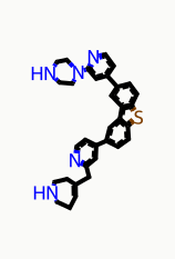 C1=C(Cc2cc(-c3ccc4sc5ccc(-c6ccnc(N7CCNCC7)c6)cc5c4c3)ccn2)CCNCC1